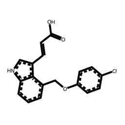 O=C(O)/C=C/c1c[nH]c2cccc(COc3ccc(Cl)cc3)c12